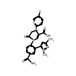 Cc1cc(-c2cc(C(N)=O)ccc2N2C=C(C(=O)O)[C@H](c3ccc(F)cc3)CC2=O)n(C)n1